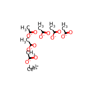 CC(=O)[O-].CC(=O)[O-].CC(=O)[O-].CC(=O)[O-].CC(=O)[O-].CC(=O)[O-].[Ce+3].[La+3]